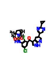 [2H]C1([2H])CCC([2H])([2H])N1S(=O)(=O)Nc1cc(Cl)cc(C(=O)c2c[nH]c3ncc(-c4cnc(C5CC5)nc4)cc23)c1F